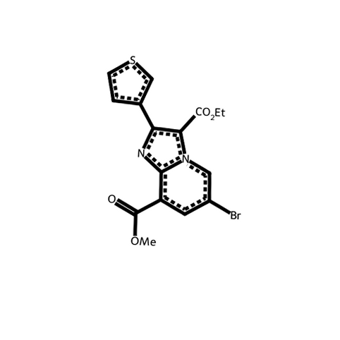 CCOC(=O)c1c(-c2ccsc2)nc2c(C(=O)OC)cc(Br)cn12